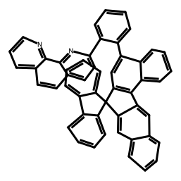 c1ccc(-c2cc3c(c4ccccc24)-c2cc4ccccc4cc2C32c3ccccc3-c3ccccc32)c(-c2ccc3ccc4cccnc4c3n2)c1